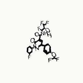 O=C(NC(F)[C@H](O)C(F)F)c1cc(-c2ccc(OC(F)F)cc2)nn(-c2cccc(F)c2)c1=O